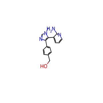 Cn1cnc(-c2ccc(CO)cc2)c1-c1cccnc1N